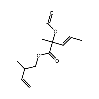 C=CC(C)COC(=O)C(C)(C=CC)O[C]=O